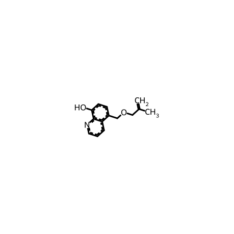 C=C(C)COCc1ccc(O)c2ncccc12